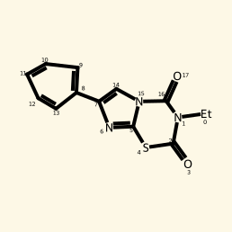 CCn1c(=O)sc2nc(-c3ccccc3)cn2c1=O